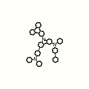 c1ccc(-c2ccc(N(c3ccccc3)c3ccc4c(c3)c3cc(-c5ccc(N(c6ccccc6)c6ccccc6)cc5)ccc3n4-c3ccc4c5ccccc5c5ccccc5c4c3)cc2)cc1